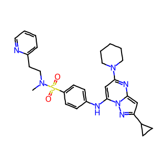 CN(CCc1ccccn1)S(=O)(=O)c1ccc(Nc2cc(N3CCCCC3)nc3cc(C4CC4)nn23)cc1